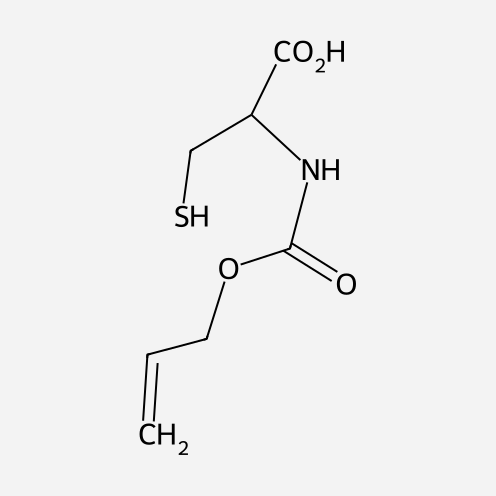 C=CCOC(=O)NC(CS)C(=O)O